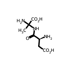 CC(N)(NC(=O)[C@@H](N)CC(=O)O)C(=O)O